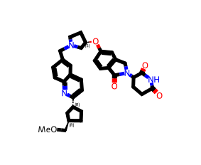 COC[C@@H]1CC[C@@H](c2ccc3cc(CN4CC[C@H](Oc5ccc6c(c5)CN(C5CCC(=O)NC5=O)C6=O)C4)ccc3n2)C1